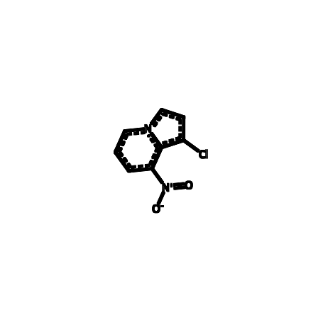 O=[N+]([O-])c1cccn2ccc(Cl)c12